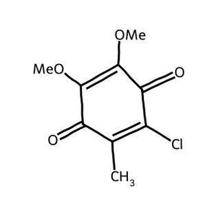 COC1=C(OC)C(=O)C(Cl)=C(C)C1=O